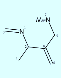 C=NC(C)C(=C)CNC